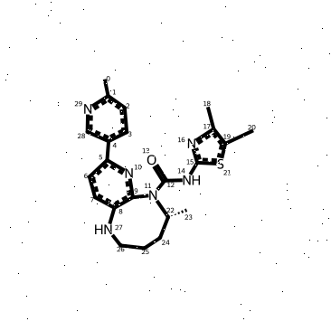 Cc1ccc(-c2ccc3c(n2)N(C(=O)Nc2nc(C)c(C)s2)[C@H](C)CCCN3)cn1